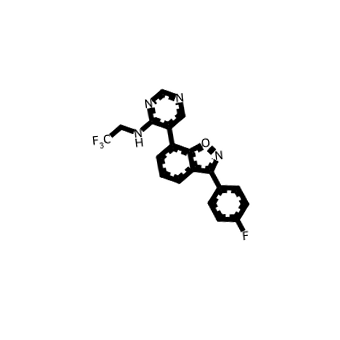 Fc1ccc(-c2noc3c(-c4cncnc4NCC(F)(F)F)cccc23)cc1